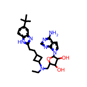 CCN(CC1OC(n2ccc3c(N)ncnc32)C(O)C1O)C1CC(CCc2nc3cc(C(C)(C)C)ccc3[nH]2)C1